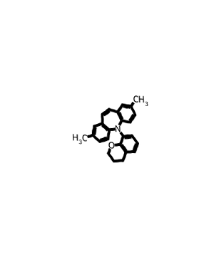 Cc1ccc2c(c1)C=Cc1cc(C)ccc1N2c1cccc2c1OCCC2